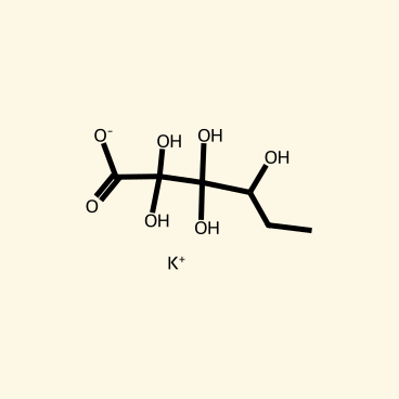 CCC(O)C(O)(O)C(O)(O)C(=O)[O-].[K+]